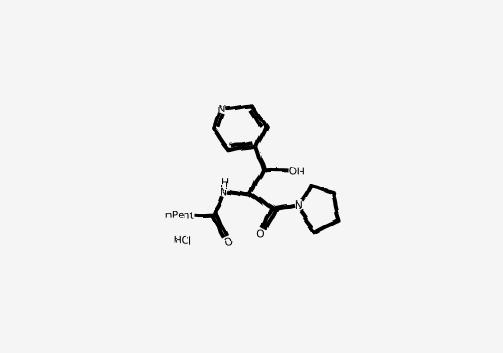 CCCCCC(=O)NC(C(=O)N1CCCC1)C(O)c1ccncc1.Cl